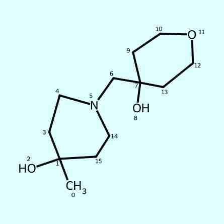 CC1(O)CCN(CC2(O)CCOCC2)CC1